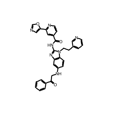 O=C(CNc1ccc2c(c1)nc(NC(=O)c1ccnc(-c3cnco3)c1)n2CCc1cccnc1)c1ccccc1